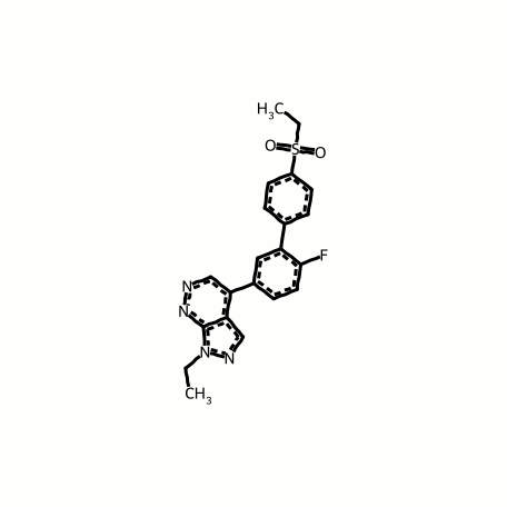 CCn1ncc2c(-c3ccc(F)c(-c4ccc(S(=O)(=O)CC)cc4)c3)cnnc21